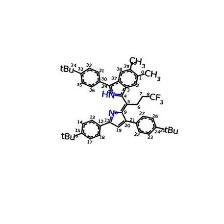 Cc1cc2c(/C(CCC(F)(F)F)=C3\N=C(c4ccc(C(C)(C)C)cc4)C=C3c3ccc(C(C)(C)C)cc3)[nH]c(-c3ccc(C(C)(C)C)cc3)c2cc1C